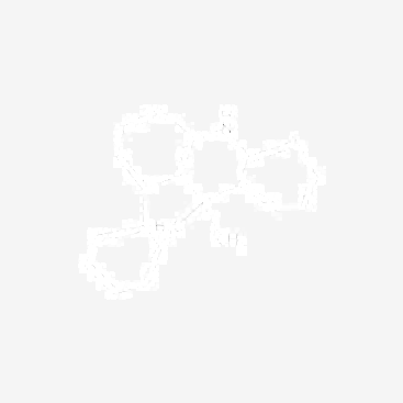 CC1(C)c2ccccc2Nc2cccc(-c3ccccc3)c21